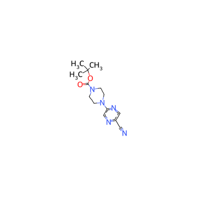 CC(C)(C)OC(=O)N1CCN(c2cnc(C#N)cn2)CC1